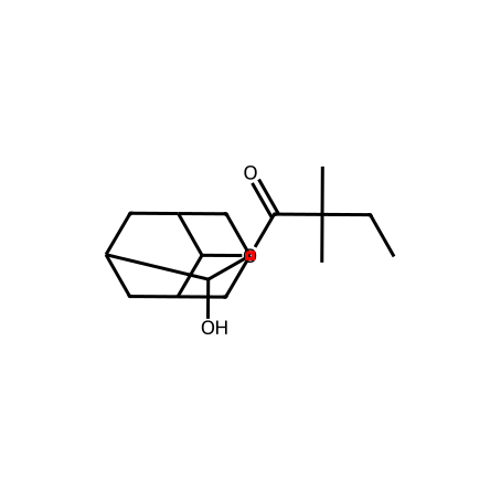 CCC(C)(C)C(=O)OC1C2CC3CC1CC(C2)C3O